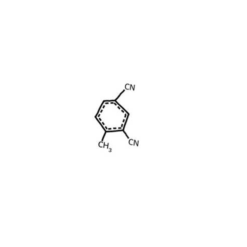 Cc1ccc(C#N)cc1C#N